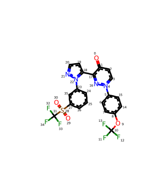 O=c1ccn(-c2ccc(OC(F)(F)F)cc2)nc1-c1ccnn1-c1cccc(S(=O)(=O)C(F)(F)F)c1